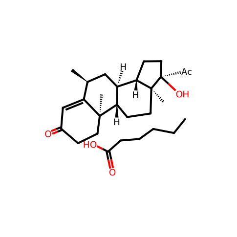 CC(=O)[C@@]1(O)CC[C@H]2[C@@H]3C[C@H](C)C4=CC(=O)CC[C@]4(C)[C@H]3CC[C@@]21C.CCCCCC(=O)O